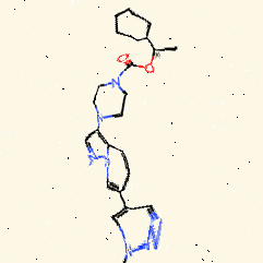 C[C@@H](OC(=O)N1CCN(c2cnn3cc(-c4cnn(C)c4)ccc23)CC1)C1CCCCC1